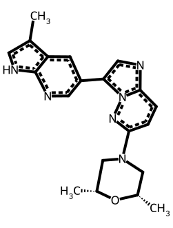 Cc1c[nH]c2ncc(-c3cnc4ccc(N5C[C@@H](C)O[C@@H](C)C5)nn34)cc12